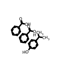 CC(C)c1ccc(O)cc1.O=C(O)c1ccccc1.O=C(O)c1ccccc1